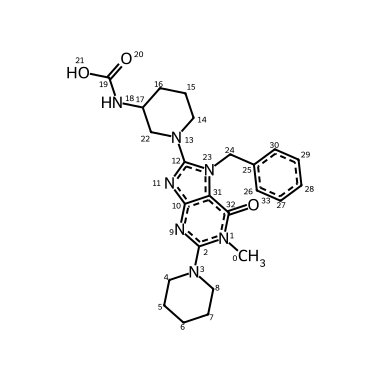 Cn1c(N2CCCCC2)nc2nc(N3CCCC(NC(=O)O)C3)n(Cc3ccccc3)c2c1=O